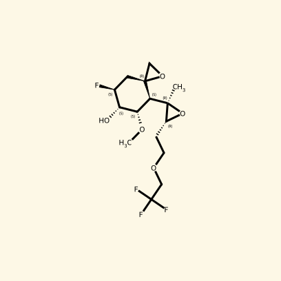 CO[C@@H]1[C@H](O)[C@@H](F)C[C@]2(CO2)[C@H]1[C@@]1(C)O[C@@H]1CCOCC(F)(F)F